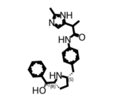 Cc1ncc(C(C)C(=O)Nc2ccc(C[C@@H]3CC[C@H]([C@H](O)c4ccccc4)N3)cc2)[nH]1